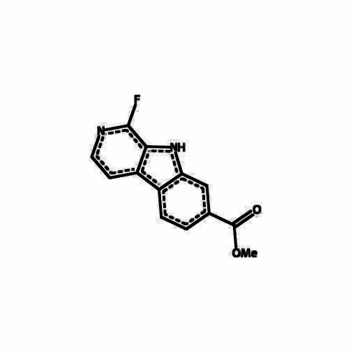 COC(=O)c1ccc2c(c1)[nH]c1c(F)nccc12